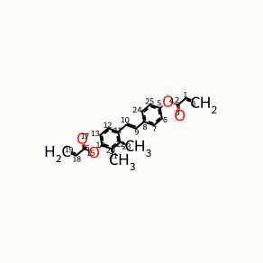 C=CC(=O)Oc1ccc(C=Cc2ccc(OC(=O)C=C)c(C)c2C)cc1